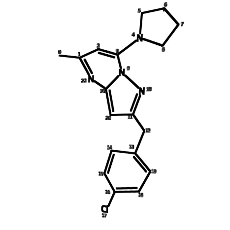 Cc1cc(N2C[CH]CC2)n2nc(Cc3ccc(Cl)cc3)cc2n1